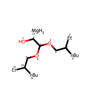 CCCCC(CC)COC(CO)OCC(CC)CCCC.[MgH2]